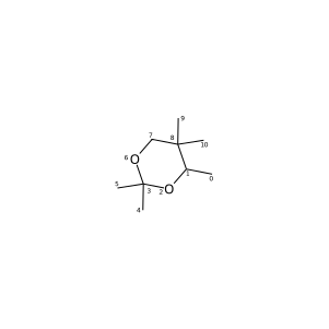 CC1OC(C)(C)OCC1(C)C